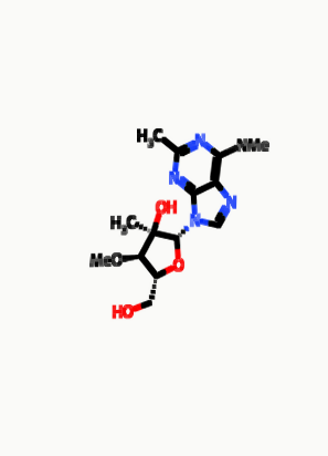 CNc1nc(C)nc2c1ncn2[C@@H]1O[C@H](CO)[C@@H](OC)[C@@]1(C)O